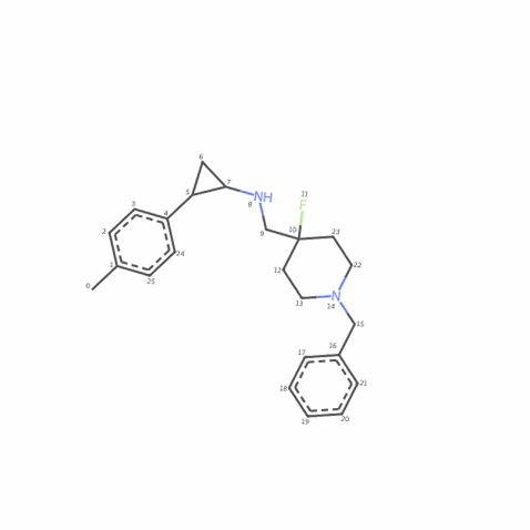 Cc1ccc(C2CC2NCC2(F)CCN(Cc3ccccc3)CC2)cc1